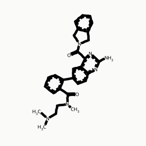 CN(C)CCN(C)C(=O)c1ccccc1-c1ccc2nc(N)nc(C(=O)N3Cc4ccccc4C3)c2c1